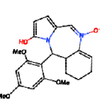 COc1cc(OC)c(C2C3CCCC=C3[N+]([O-])=Cc3ccc(O)n32)c(OC)c1